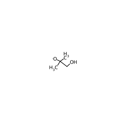 CC(C)([O])CO